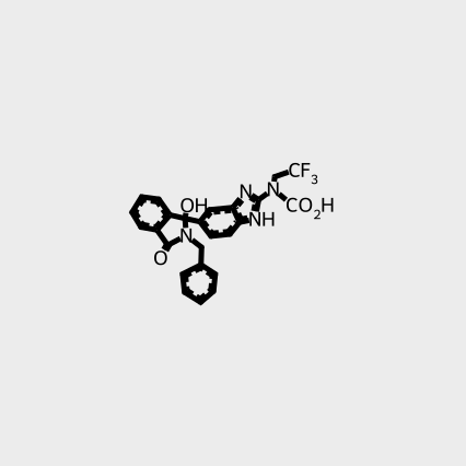 O=C(O)N(CC(F)(F)F)c1nc2cc(C3(O)c4ccccc4C(=O)N3Cc3ccccc3)ccc2[nH]1